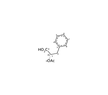 CC(=O)O[C@@H](Cc1ccccc1)C(=O)O